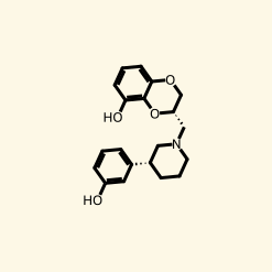 Oc1cccc([C@H]2CCCN(C[C@H]3COc4cccc(O)c4O3)C2)c1